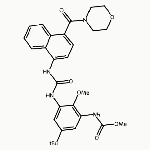 COC(=O)Nc1cc(C(C)(C)C)cc(NC(=O)Nc2ccc(C(=O)N3CCOCC3)c3ccccc23)c1OC